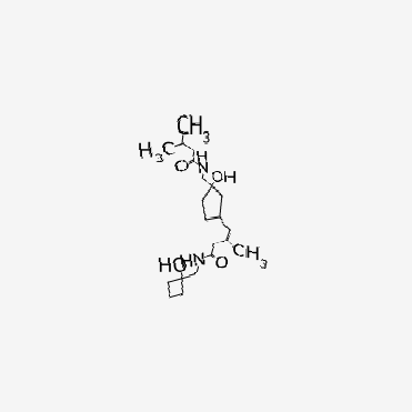 CC(C)CC(=O)NCC1(O)CCC(C[C@H](C)CC(=O)NCC2(O)CCC2)C1